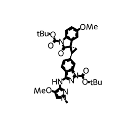 COc1ccc2c(c1)[C@]1(C[C@H]1c1ccc3c(Nc4nn(C)cc4OC)nn(C(=O)OC(C)(C)C)c3c1)C(=O)N2C(=O)OC(C)(C)C